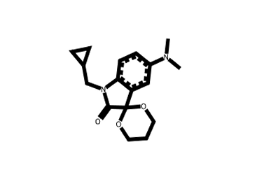 CN(C)c1ccc2c(c1)C1(OCCCO1)C(=O)N2CC1CC1